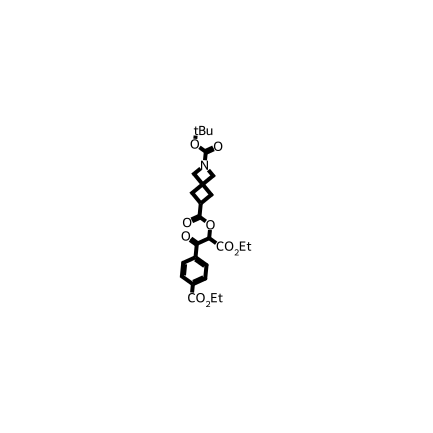 CCOC(=O)c1ccc(C(=O)C(OC(=O)C2CC3(C2)CN(C(=O)OC(C)(C)C)C3)C(=O)OCC)cc1